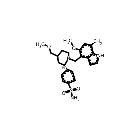 COCC1CCN(Cc2c(OC)cc(C)c3[nH]ccc23)[C@H](c2ccc(S(N)(=O)=O)cc2)C1